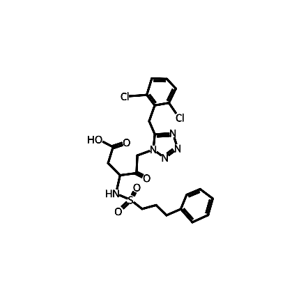 O=C(O)CC(NS(=O)(=O)CCCc1ccccc1)C(=O)Cn1nnnc1Cc1c(Cl)cccc1Cl